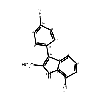 O=C(O)c1[nH]c2c(Cl)cccc2c1-c1ccc(F)cc1